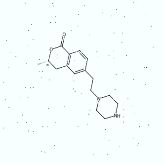 C[C@H]1Cc2cc(CCN3CCNCC3)ccc2C(=O)O1